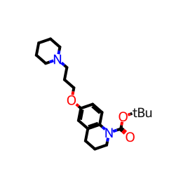 CC(C)(C)OC(=O)N1CCCc2cc(OCCCN3CCCCC3)ccc21